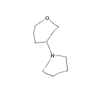 C1CCN(C2CCOC2)C1